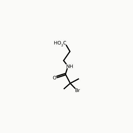 CC(C)(Br)C(=O)NCCC(=O)O